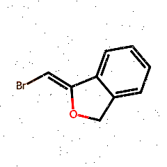 Br/C=C1\OCc2ccccc21